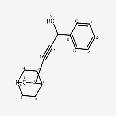 OC(C#CC1CN2CCC1CC2)c1ccccc1